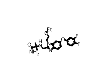 CCOCCn1c(CNC(C)(C)C(N)=O)nc2ccc(Oc3ccc(F)c(F)c3)cc21